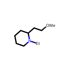 [CH2]CN1CCCCC1CCOC